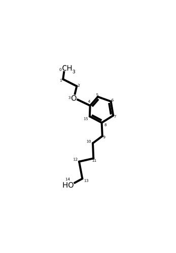 CCCOc1cccc(CCCCCO)c1